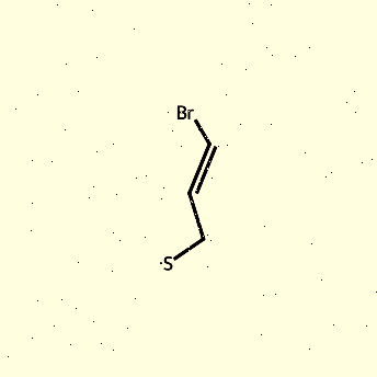 [S]C/C=C/Br